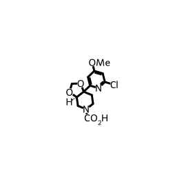 COc1cc(Cl)nc(C23CCN(C(=O)O)C[C@H]2OCO3)c1